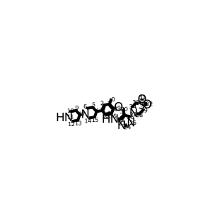 Cc1cc(C2CCN(C3CCNCC3)CC2)cc2c1OCc1c(ncnc1N1CCS(=O)(=O)CC1)N2